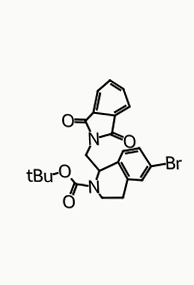 CC(C)(C)OC(=O)N1CCc2cc(Br)ccc2C1CN1C(=O)c2ccccc2C1=O